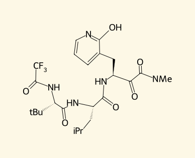 CNC(=O)C(=O)[C@H](Cc1cccnc1O)NC(=O)[C@H](CC(C)C)NC(=O)[C@@H](NC(=O)C(F)(F)F)C(C)(C)C